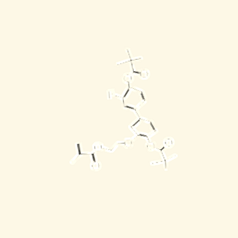 C=C(C)C(=O)OCCOc1cc(-c2ccc(OC(=O)C(C)(C)C)c(F)c2)ccc1OC(=O)C(C)(C)C